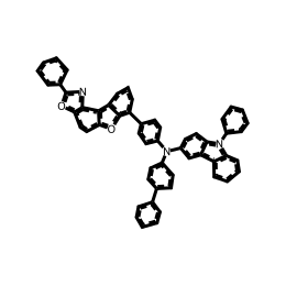 c1ccc(-c2ccc(N(c3ccc(-c4cccc5c4oc4ccc6oc(-c7ccccc7)nc6c45)cc3)c3ccc4c(c3)c3ccccc3n4-c3ccccc3)cc2)cc1